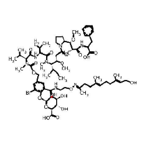 CCC(C)[C@@H]([C@@H](CC(=O)N1CCC[C@H]1[C@H](OC)[C@@H](C)C(=O)NC(Cc1ccccc1)C(=O)O)OC)N(C)C(=O)[C@@H](NC(=O)[C@H](C(C)C)N(C)C(=O)OCc1cc(Br)c(O[C@@H]2O[C@H](C(=O)O)[C@@H](O)[C@H](O)C2O)c(C(=O)NCCO/N=C(\C)CC/C(C)=C/CC/C(C)=C/CO)c1)C(C)C